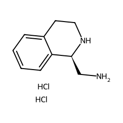 Cl.Cl.NC[C@@H]1NCCc2ccccc21